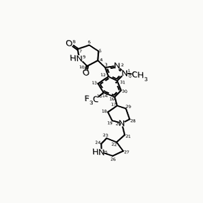 Cn1nc(C2CCC(=O)NC2=O)c2cc(C(F)(F)F)c(C3CCN(CC4CCNCC4)CC3)cc21